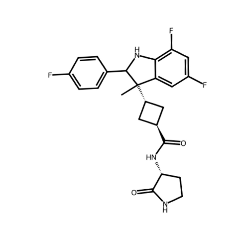 CC1([C@H]2C[C@H](C(=O)N[C@@H]3CCNC3=O)C2)c2cc(F)cc(F)c2NC1c1ccc(F)cc1